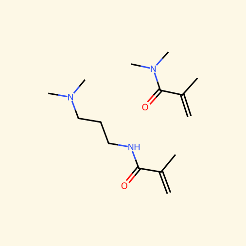 C=C(C)C(=O)N(C)C.C=C(C)C(=O)NCCCN(C)C